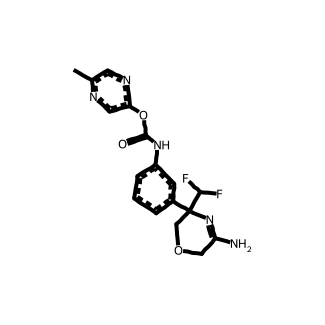 Cc1cnc(OC(=O)Nc2cccc(C3(C(F)F)COCC(N)=N3)c2)cn1